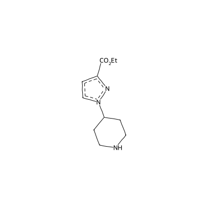 CCOC(=O)c1ccn(C2CCNCC2)n1